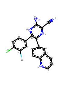 N#Cc1nc(-c2ccc3ncccc3c2)c(-c2ccc(Cl)c(F)c2)nc1N